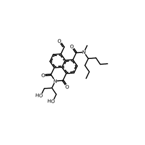 CCCC(CCC)N(C)C(=O)c1ccc2c3c(ccc(C=O)c13)C(=O)N(C(CO)CO)C2=O